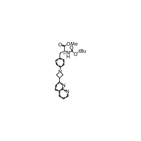 COC(=O)[C@H](Cc1ccc(N2CC(c3ccc4cccnc4n3)C2)cc1)NC(=O)OC(C)(C)C